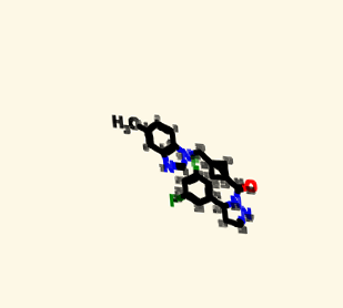 Cc1ccc2c(c1)ncn2CC12CC(C(=O)N3N=CCC3c3cc(F)cc(F)c3)(C1)C2